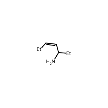 CC/C=C\C(N)CC